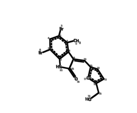 Cc1c(Br)cc(Br)c2c1C(=Cc1ccc(CO)o1)C(=O)N2